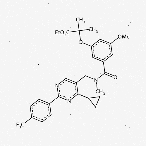 CCOC(=O)C(C)(C)Oc1cc(OC)cc(C(=O)N(C)Cc2cnc(-c3ccc(C(F)(F)F)cc3)nc2C2CC2)c1